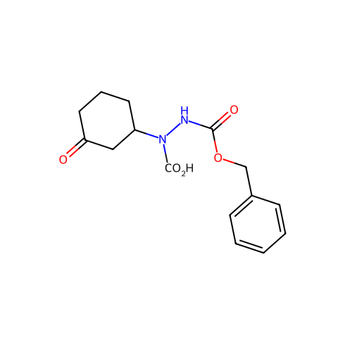 O=C1CCCC(N(NC(=O)OCc2ccccc2)C(=O)O)C1